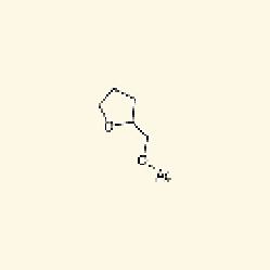 [CH2]C(=O)OCC1CCCO1